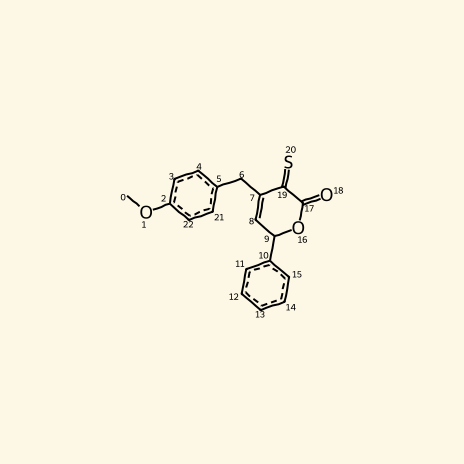 COc1ccc(CC2=CC(c3ccccc3)OC(=O)C2=S)cc1